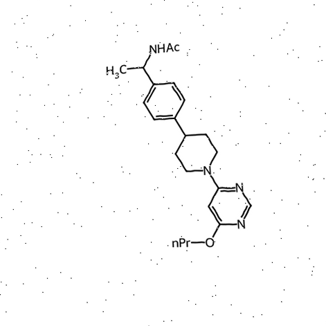 CCCOc1cc(N2CCC(c3ccc(C(C)NC(C)=O)cc3)CC2)ncn1